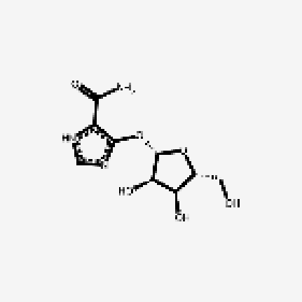 NC(=O)c1[nH]cnc1O[C@@H]1O[C@H](CO)[C@@H](O)[C@H]1O